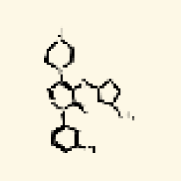 CC1CCC(Oc2c(N3CCNCC3)cnn(-c3cccc(Cl)c3)c2=O)C1